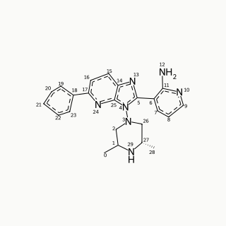 CC1CN(n2c(-c3cccnc3N)nc3ccc(-c4ccccc4)nc32)C[C@H](C)N1